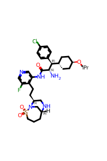 CC(C)O[C@H]1CC[C@H]([C@H](c2ccc(Cl)cc2)[C@H](N)C(=O)Nc2cncc(F)c2CC[C@H]2CN[C@@H]3CCCS(=O)(=O)N2C3)CC1